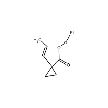 CC=CC1(C(=O)OOCC)CC1